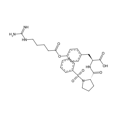 N=C(N)NCCCCC(=O)Oc1ccc(C[C@H](NC(=O)[C@@H]2CCCN2S(=O)(=O)c2ccccc2)C(=O)O)cc1